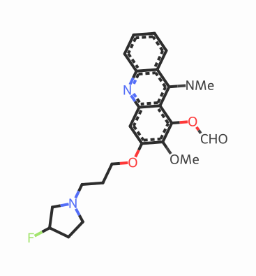 CNc1c2ccccc2nc2cc(OCCCN3CCC(F)C3)c(OC)c(OC=O)c12